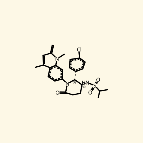 C=C1C=C(C)c2ccc(N3C(=O)CC[C@H](NS(=O)(=O)C(C)C)[C@H]3c3ccc(Cl)cc3)cc2N1C